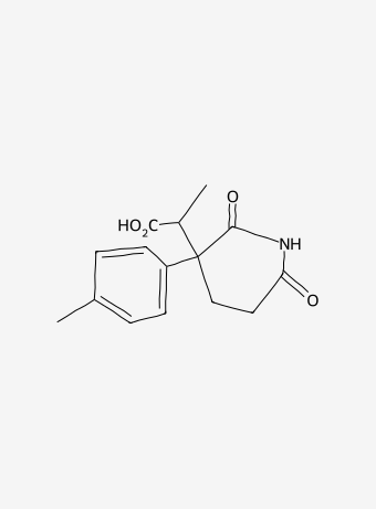 Cc1ccc(C2(C(C)C(=O)O)CCC(=O)NC2=O)cc1